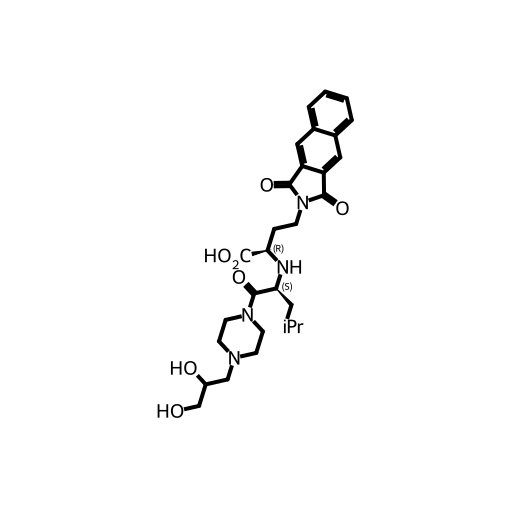 CC(C)C[C@H](N[C@H](CCN1C(=O)c2cc3ccccc3cc2C1=O)C(=O)O)C(=O)N1CCN(CC(O)CO)CC1